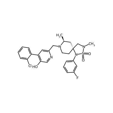 C[C@H]1C[C@]2(CCN1Cc1cc(-c3ccccc3Cl)c(O)cn1)CN(C)S(=O)(=O)N2c1cccc(F)c1